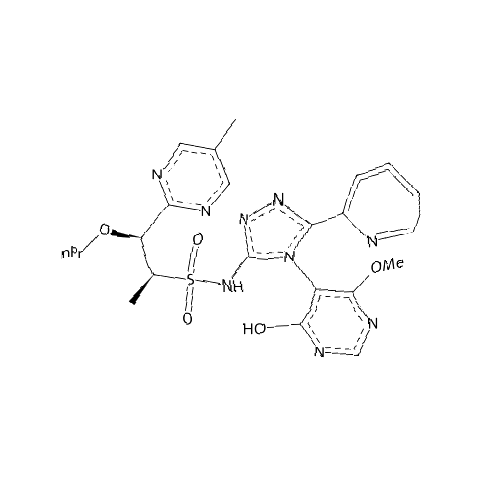 CCCO[C@@H](c1ncc(C)cn1)[C@H](C)S(=O)(=O)Nc1nnc(C2=C=C=CC=N2)n1-c1c(O)ncnc1OC